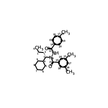 CCC[C@@H](C1CCCCC1)N(NC(=O)c1ccc(C)cc1)C(=O)c1cc(C)cc(C)c1